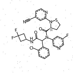 N#Cc1ccnc(N2SCC[C@H]2C(=O)N(c2cncc(F)c2)C(C(=O)NC2CC(F)(F)C2)c2ccccc2Cl)c1